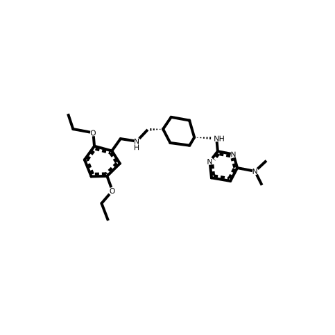 CCOc1ccc(OCC)c(CNC[C@H]2CC[C@@H](Nc3nccc(N(C)C)n3)CC2)c1